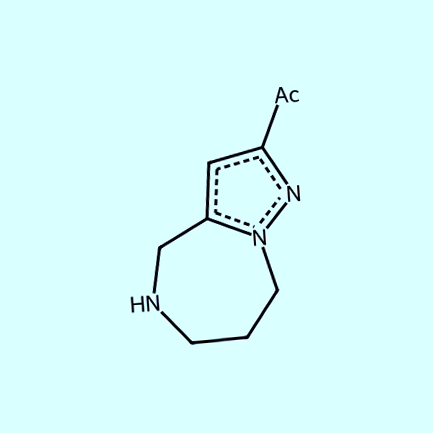 CC(=O)c1cc2n(n1)CCCNC2